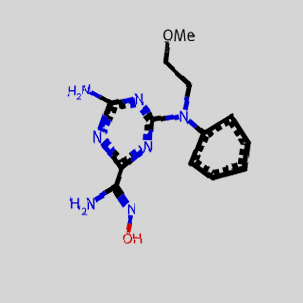 COCCN(c1ccccc1)c1nc(N)nc(C(N)=NO)n1